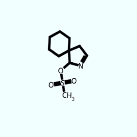 CS(=O)(=O)OC1N=CCC12CCCCC2